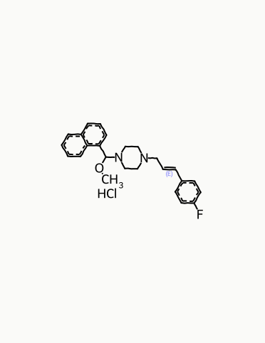 COC(c1cccc2ccccc12)N1CCN(C/C=C/c2ccc(F)cc2)CC1.Cl